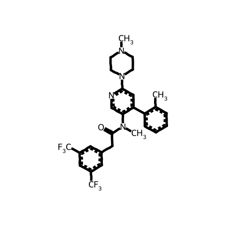 Cc1ccccc1-c1cc(N2CCN(C)CC2)ncc1N(C)C(=O)Cc1cc(C(F)(F)F)cc(C(F)(F)F)c1